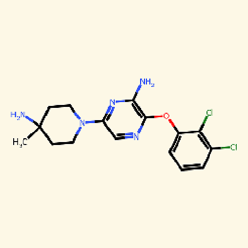 CC1(N)CCN(c2cnc(Oc3cccc(Cl)c3Cl)c(N)n2)CC1